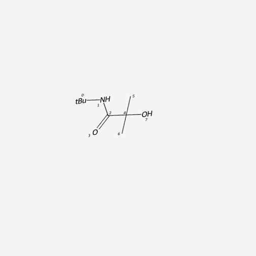 CC(C)(C)NC(=O)C(C)(C)O